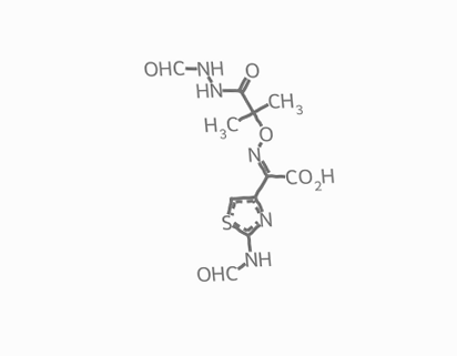 CC(C)(ON=C(C(=O)O)c1csc(NC=O)n1)C(=O)NNC=O